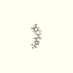 O=C(Nc1nnc(C(F)(F)F)s1)N1CCc2cc(=O)[nH]cc2C1